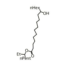 CCCCCCC(O)CCCCCCCCCCC(=O)OC(CC)CCCCC